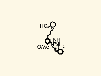 COc1ccc(CCCCN2CCCCC2CO)cc1N(Cc1cc2ccccc2o1)C(=N)N